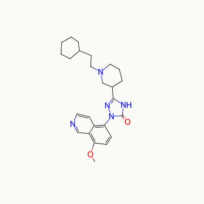 COc1ccc(-n2nc(C3CCCN(CCC4CCCCC4)C3)[nH]c2=O)c2ccncc12